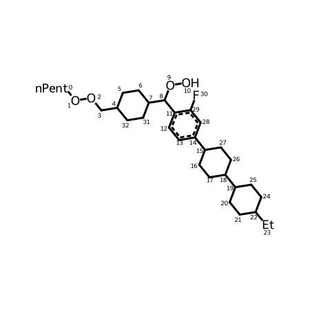 [CH2+][CH-]CCCOOCC1CCC(C(OO)c2ccc(C3CCC(C4CCC(CC)CC4)CC3)cc2F)CC1